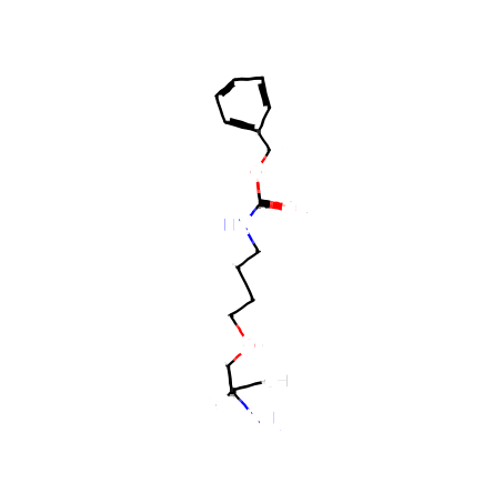 CC(C)(N)COCCCCNC(=O)OCc1ccccc1